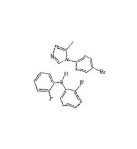 CCB(c1ccccc1F)c1ccccc1F.Cc1cncn1-c1ccc(Br)cc1